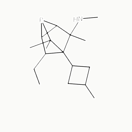 CCC1C2C3P2C(C)(C)C1(C1CC(C)C1)C3(C)NC